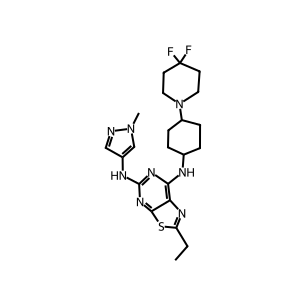 CCc1nc2c(NC3CCC(N4CCC(F)(F)CC4)CC3)nc(Nc3cnn(C)c3)nc2s1